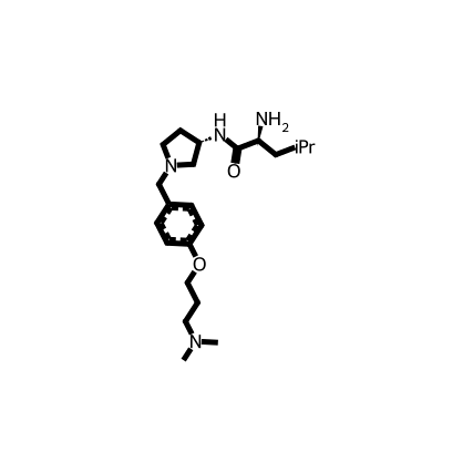 CC(C)C[C@H](N)C(=O)N[C@H]1CCN(Cc2ccc(OCCCN(C)C)cc2)C1